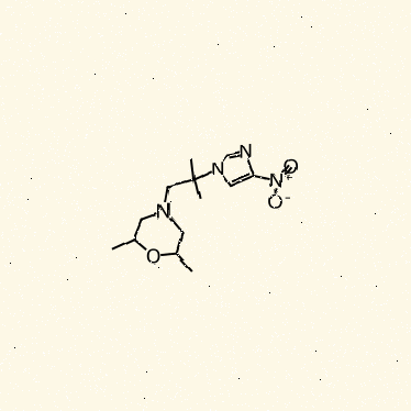 CC1CN(CC(C)(C)n2cnc([N+](=O)[O-])c2)CC(C)O1